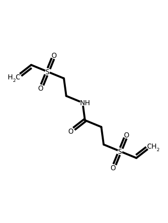 C=CS(=O)(=O)CCNC(=O)CCS(=O)(=O)C=C